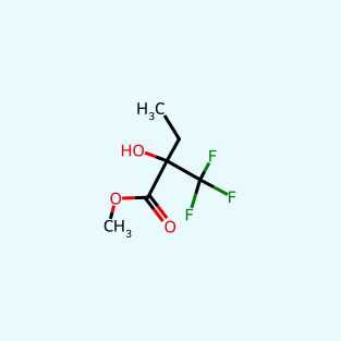 CCC(O)(C(=O)OC)C(F)(F)F